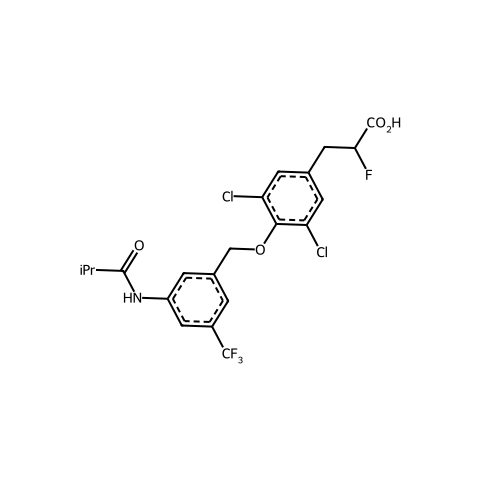 CC(C)C(=O)Nc1cc(COc2c(Cl)cc(CC(F)C(=O)O)cc2Cl)cc(C(F)(F)F)c1